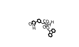 O=C(N[C@@H](Cc1cccc(-c2ccc(=O)[nH]c2)c1)C(=O)O)OCC1c2ccccc2-c2ccccc21